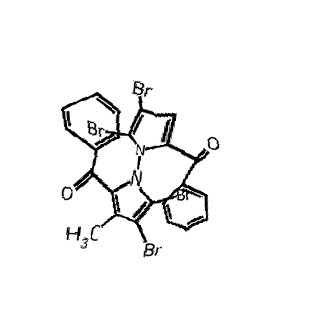 Cc1c(Br)c(Br)n(-n2c(C(=O)c3ccccc3)cc(Br)c2Br)c1C(=O)c1ccccc1